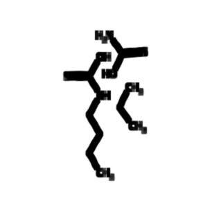 CCC.CCCCNC(O)=S.NC(O)=S